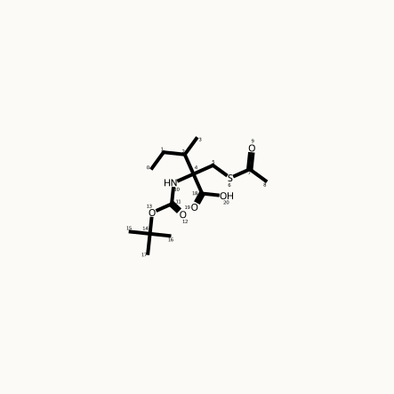 CCC(C)C(CSC(C)=O)(NC(=O)OC(C)(C)C)C(=O)O